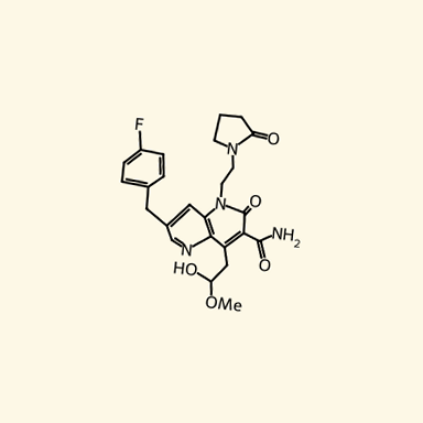 COC(O)Cc1c(C(N)=O)c(=O)n(CCN2CCCC2=O)c2cc(Cc3ccc(F)cc3)cnc12